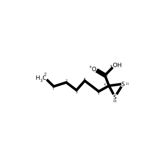 CCCCCCC1(C(=O)O)SS1